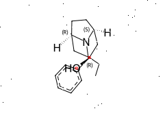 CC[C@]1(O)C[C@H]2CC[C@@H](C1)N2Cc1ccccc1